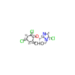 Cn1c(Cl)cnc1COc1c(Cl)cc(Cl)cc1C=O